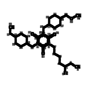 CCC(CC#N)CCCCn1c(=O)n(CC2CCC(CC#N)CC2)c(=O)n(CC2CCC(COC#N)CC2)c1=O